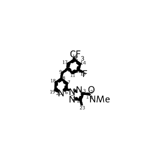 CNC(=O)c1nn(-c2cc(Cc3cc(F)cc(C(F)(F)F)c3)ccn2)nc1C